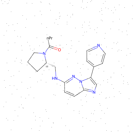 CCCC(=O)N1CCC[C@H]1CNc1ccc2ncc(-c3ccncc3)n2n1